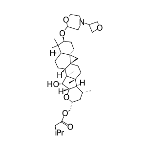 CC(C)CC(=O)OC[C@H]1C[C@@H](C)[C@H]2[C@H](O1)[C@H](O)[C@@]1(C)[C@@H]3CC[C@H]4C(C)(C)[C@@H](OC5CN(C6COC6)CCO5)CC[C@@]45C[C@@]35CC[C@]21C